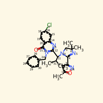 Cc1cc(C2=NC(C)(C)CN2C(c2nc3cc(Cl)ccc3c(=O)n2Cc2ccccc2)C(C)C)no1